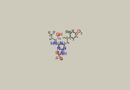 COc1ccc([C@H](C)Cc2nc(N[C@@H](CO)CC(C)C)nc(NS(C)(=O)=O)n2)c(F)c1